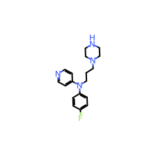 Fc1ccc(N(CCCN2CCNCC2)c2ccncc2)cc1